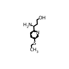 CCSc1ccc([C@@H](N)CCO)nc1